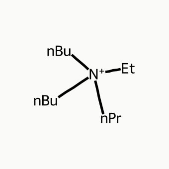 CCCC[N+](CC)(CCC)CCCC